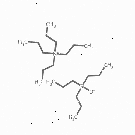 CCC[N+](CCC)(CCC)CCC.CCC[Si]([O-])(CCC)CCC